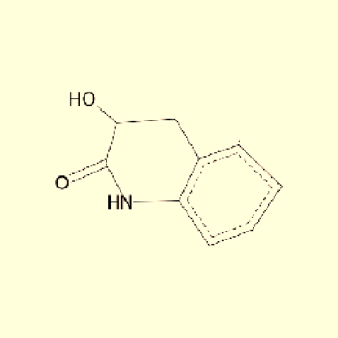 O=C1Nc2ccc[c]c2CC1O